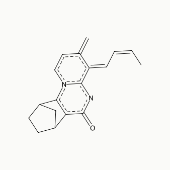 C=c1ccn2c3c(c(=O)nc2/c1=C/C=C\C)C1CCC3C1